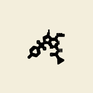 CSc1nc(NC(=O)C2CC2)nc2c1c(I)cn2S(=O)(=O)c1ccc(C)cc1